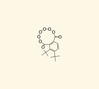 CC(C)(C)c1ccc2c(=O)ooooooc(=O)c2c1C(C)(C)C